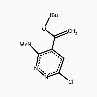 C=C(OC(C)(C)C)c1cc(Cl)nnc1NC